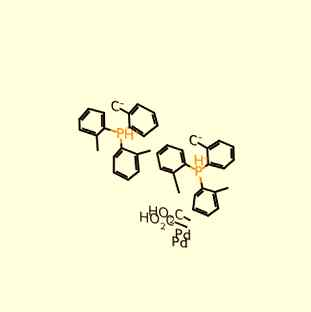 CC(=O)O.CC(=O)O.[CH2-]c1ccccc1[PH+](c1ccccc1C)c1ccccc1C.[CH2-]c1ccccc1[PH+](c1ccccc1C)c1ccccc1C.[Pd].[Pd]